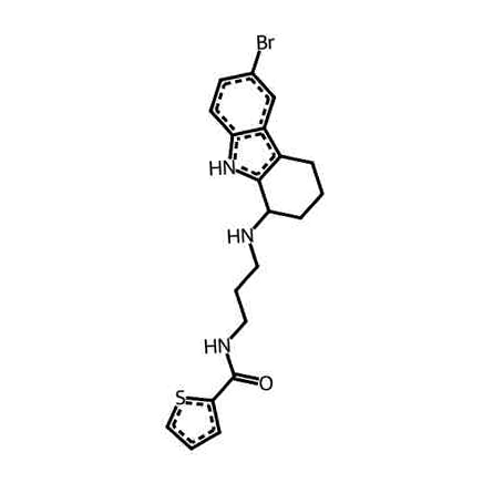 O=C(NCCCNC1CCCc2c1[nH]c1ccc(Br)cc21)c1cccs1